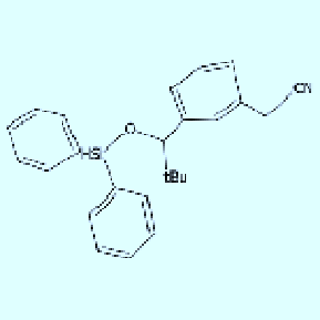 CC(C)(C)C(O[SiH](c1ccccc1)c1ccccc1)c1cccc(CC#N)c1